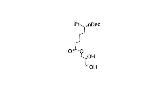 CCCCCCCCCCC(CCCCC(=O)OCC(O)CO)C(C)C